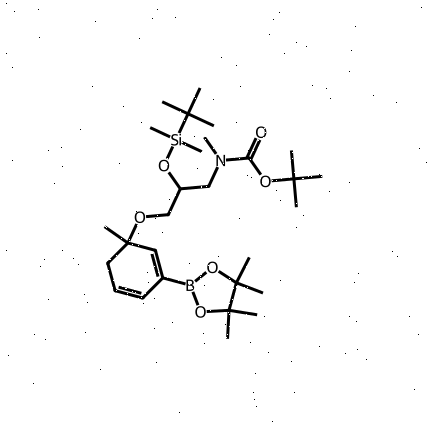 CN(CC(COC1(C)C=C(B2OC(C)(C)C(C)(C)O2)C=CC1)O[Si](C)(C)C(C)(C)C)C(=O)OC(C)(C)C